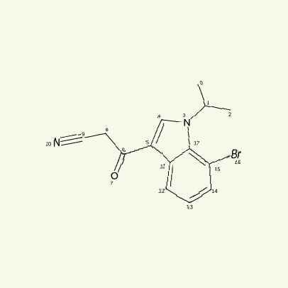 CC(C)n1cc(C(=O)CC#N)c2cccc(Br)c21